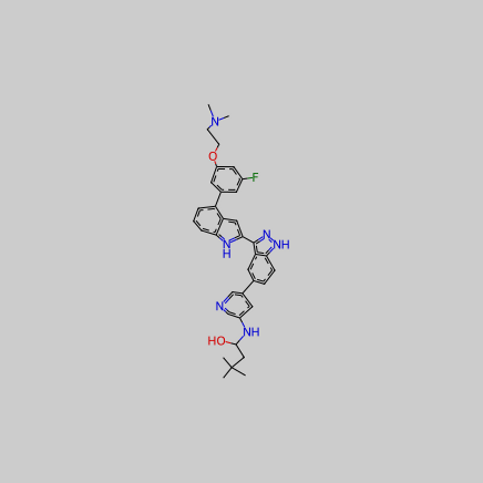 CN(C)CCOc1cc(F)cc(-c2cccc3[nH]c(-c4n[nH]c5ccc(-c6cncc(NC(O)CC(C)(C)C)c6)cc45)cc23)c1